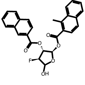 Cc1c(C(=O)O[C@H]2OC(O)[C@@H](F)[C@@H]2OC(=O)c2ccc3ccccc3c2)ccc2ccccc12